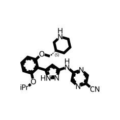 CC(C)Oc1cccc(OC[C@H]2CCCNC2)c1-c1cc(Nc2cnc(C#N)cn2)n[nH]1